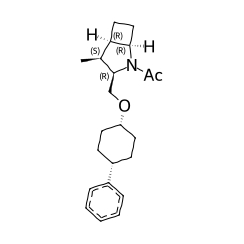 CC(=O)N1[C@@H]2CC[C@@H]2[C@H](C)[C@@H]1CO[C@H]1CC[C@@H](c2ccccc2)CC1